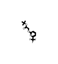 CC(C)(C)OC(=O)COc1cccc(C(F)(F)F)n1